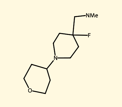 CNCC1(F)CCN(C2CCOCC2)CC1